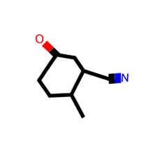 CC1CCC(=O)CC1C#N